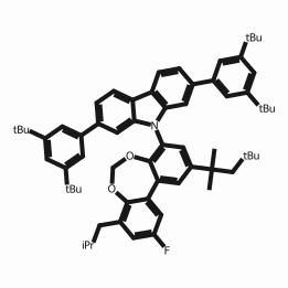 CC(C)Cc1cc(F)cc2c1OCOc1c-2cc(C(C)(C)CC(C)(C)C)cc1-n1c2cc(-c3cc(C(C)(C)C)cc(C(C)(C)C)c3)ccc2c2ccc(-c3cc(C(C)(C)C)cc(C(C)(C)C)c3)cc21